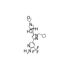 Nc1ncc(-c2cc([C@H]3[C@@H]4CN(C5COC5)C[C@@H]43)n(CC3CCC3)n2)cc1C(F)(F)F